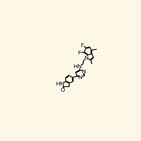 Cc1cc(F)c(F)c2c1cc(C)n2CCNc1cc(-c2ccc3c(c2)CC(=O)N3)ncn1